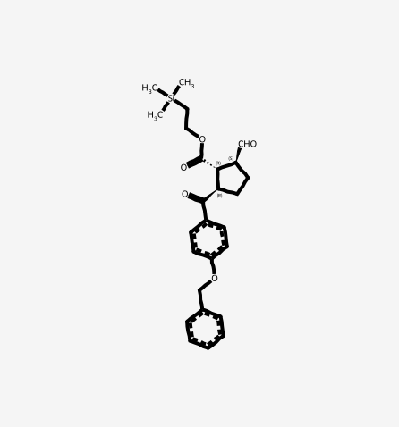 C[Si](C)(C)CCOC(=O)[C@@H]1[C@@H](C=O)CC[C@H]1C(=O)c1ccc(OCc2ccccc2)cc1